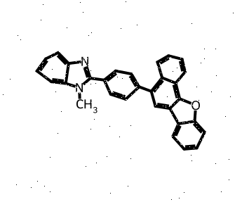 Cn1c(-c2ccc(-c3cc4c5ccccc5oc4c4ccccc34)cc2)nc2ccccc21